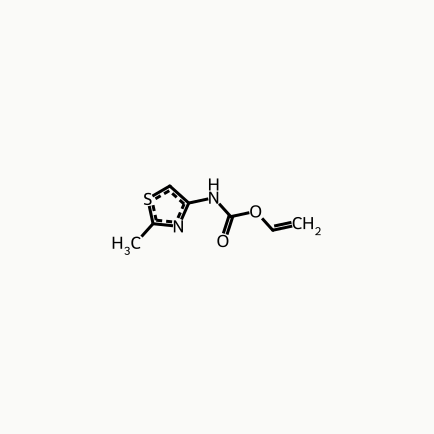 C=COC(=O)Nc1csc(C)n1